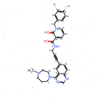 CN1CCCN(c2ncnc3ccc(C#CCNC(=O)c4cccn(Cc5ccc(F)c(F)c5)c4=O)cc23)CC1